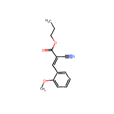 CCCOC(=O)/C(C#N)=C/c1ccccc1OC